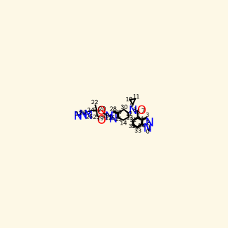 Cn1ncc2c(C(=O)N(C3CC3)C3CCc4nn(C(=O)OC(C)(C)CN=[N+]=[N-])cc4C3)cccc21